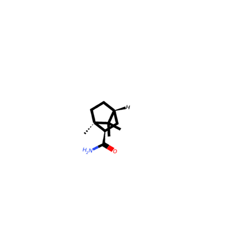 CC1(C)[C@@H]2CC[C@]1(C)[C@H](C(N)=O)C2